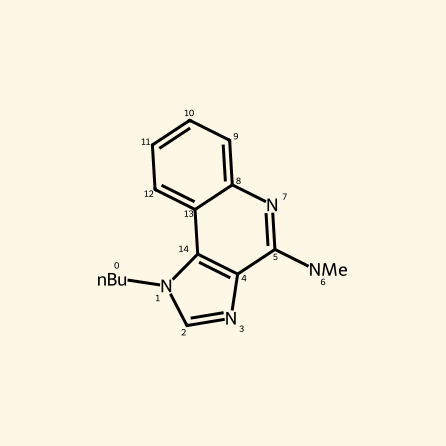 CCCCn1cnc2c(NC)nc3ccccc3c21